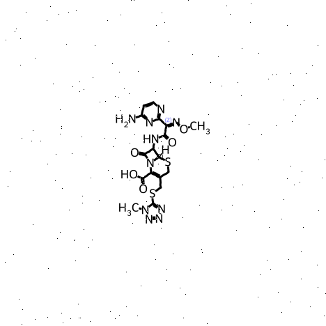 CO/N=C(\C(=O)NC1C(=O)N2C(C(=O)O)=C(CSc3nnnn3C)CS[C@H]12)c1nccc(N)n1